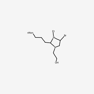 CCCCCCCCCCCCC1N(CCO)CC(Br)N1CC